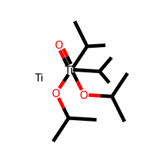 CC(C)[O][Ti](=[O])([O]C(C)C)([CH](C)C)[CH](C)C.[Ti]